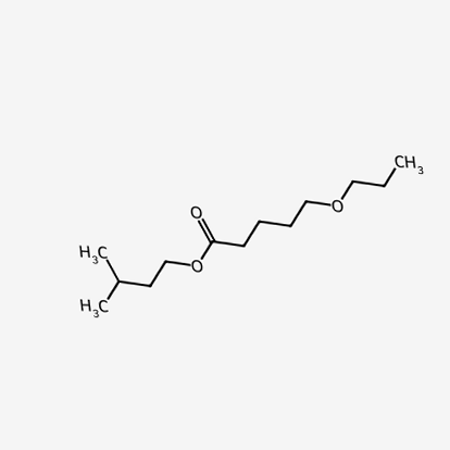 CCCOCCCCC(=O)OCCC(C)C